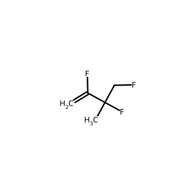 C=C(F)C(C)(F)CF